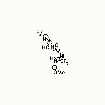 COc1ccc(CN2C=C(C(F)(F)F)C(NC(C)CO[C@@H]3CCN([C@@H]4CCN(c5ncc(C(F)(F)F)cn5)C[C@H]4O)C3=O)=CN2)cc1